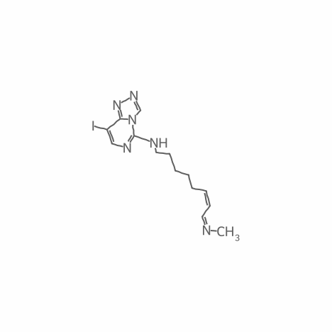 C/N=C\C=C/CCCCCNc1ncc(I)c2nncn12